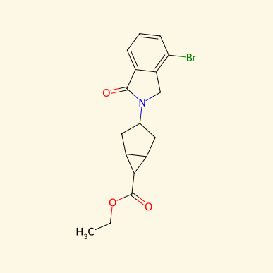 CCOC(=O)C1C2CC(N3Cc4c(Br)cccc4C3=O)CC21